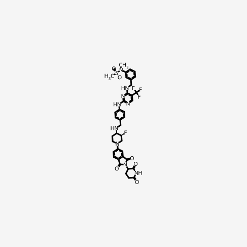 CN(c1cccc(CNc2nc(Nc3ccc(CN[C@@H]4CCN(c5ccc6c(c5)C(=O)N(C5CCC(=O)NC5=O)C6=O)C[C@@H]4F)cc3)ncc2C(F)(F)F)c1)S(C)(=O)=O